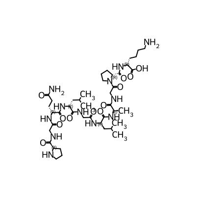 CC(C)C[C@@H](NC(=O)CNC(=O)[C@@H](CC(C)C)NC(=O)[C@@H](CCC(N)=O)NC(=O)CNC(=O)[C@H]1CCCN1)C(=O)N[C@H](C)C(=O)NCC(=O)N1CCC[C@@H]1C(=O)N[C@H](CCCCN)C(=O)O